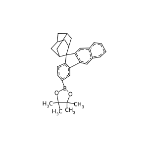 CC1(C)OB(c2ccc3c(c2)-c2cc4ccccc4cc2C32C3CC4CC(C3)CC2C4)OC1(C)C